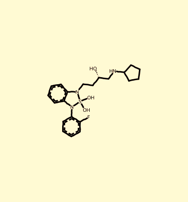 O[C@@H](CCN1c2ccccc2N(c2ccccc2F)S1(O)O)CNC1CCCC1